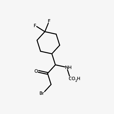 O=C(O)NC(C(=O)CBr)C1CCC(F)(F)CC1